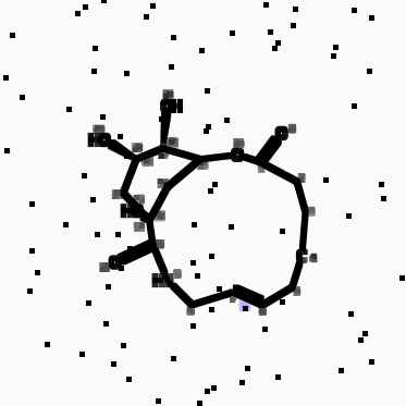 O=C1CCCC/C=C/CNC(=O)[C@@]2(O)CC(O1)[C@H](O)[C@H](O)C2